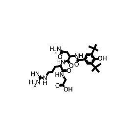 CC(C)(C)c1cc(C(=O)NC(CC(N)=O)C(=O)NC(CCCNC(=N)N)C(=O)NCC(=O)O)cc(C(C)(C)C)c1O